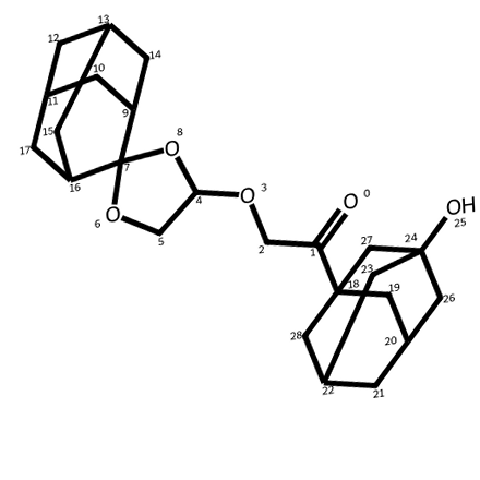 O=C(COC1COC2(O1)C1CC3CC(C1)CC2C3)C12CC3CC(CC(O)(C3)C1)C2